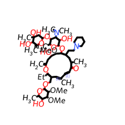 C=C1CC(O)C(OC)C(OC2OC(C)C(OC3CC(C)(O)C(O)C(C)O3)C(N(C)C)C2O)C(CCN2CCCCC2)CC(C)C(=O)/C=C/C(C)=C/C(COC2OC(C)C(O)C(OC)C2OC)C(CC)O1